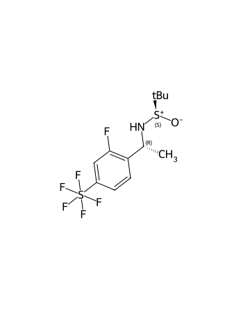 C[C@@H](N[S@+]([O-])C(C)(C)C)c1ccc(S(F)(F)(F)(F)F)cc1F